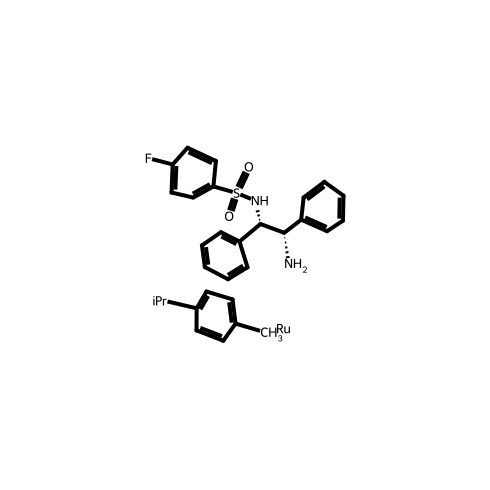 Cc1ccc(C(C)C)cc1.N[C@@H](c1ccccc1)[C@@H](NS(=O)(=O)c1ccc(F)cc1)c1ccccc1.[Ru]